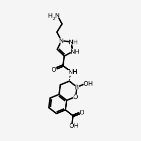 NCCN1C=C(C(=O)N[C@H]2Cc3cccc(C(=O)O)c3OB2O)NN1